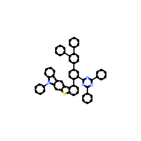 c1ccc(-c2nc(-c3ccccc3)nc(-c3cc(-c4ccc(-c5ccccc5)c(-c5ccccc5)c4)ccc3-c3cccc4sc5cc6c(cc5c34)c3ccccc3n6-c3ccccc3)n2)cc1